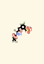 COS(=O)(=O)Cc1cc(F)cc2c1OC([C@@H](C)NC(=O)OC(C)(C)C)C2